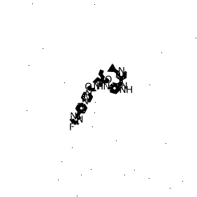 C=CCC1(C(=O)Nc2ccc3[nH]nc(-c4ccnc(C5CC5)c4)c3c2)CCN(CC(=O)N2CCN(c3ccc(-c4ncc(F)cn4)cc3)CC2)C1